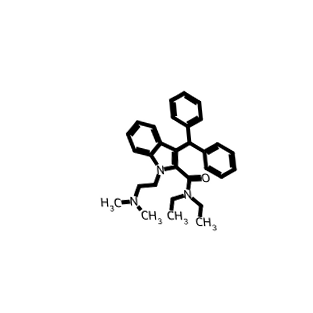 CCN(CC)C(=O)c1c(C(c2ccccc2)c2ccccc2)c2ccccc2n1CCN(C)C